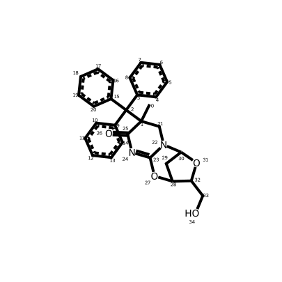 CC1(C(c2ccccc2)(c2ccccc2)c2ccccc2)CN2C(=NC1=O)OC1CC2OC1CO